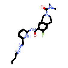 CCC/C=N/N=C/C1=CC=CC(NC(=O)c2cc3c(cc2F)CCN(C(=O)N(C)C)C3)N1